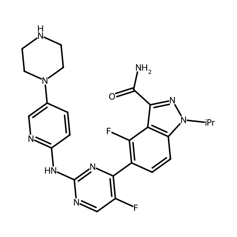 CC(C)n1nc(C(N)=O)c2c(F)c(-c3nc(Nc4ccc(N5CCNCC5)cn4)ncc3F)ccc21